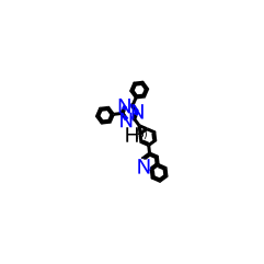 C1=CC2C(c3nc(-c4ccccc4)nc(-c4ccccc4)n3)[C@@H]2C=C1c1cnc2ccccc2c1